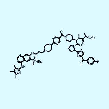 CNC(C)C(=O)N[C@H](C(=O)N1CCCC1c1nc(C(=O)c2ccc(F)cc2)cs1)C1CCN(C(=O)c2cnc(N3CCN(CCCOc4cc5ncnc(Nc6n[nH]c(C)c6C)c5cc4S(=O)(=O)C(C)(C)C)CC3)nc2)CC1